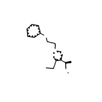 COC(=O)c1nn(CCSc2ccccc2)nc1CBr